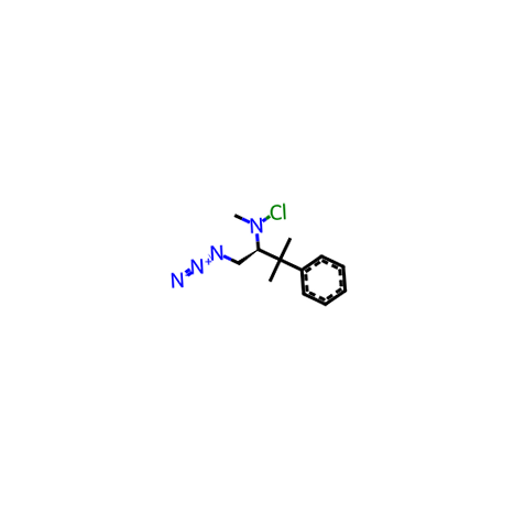 CN(Cl)[C@H](CN=[N+]=[N-])C(C)(C)c1ccccc1